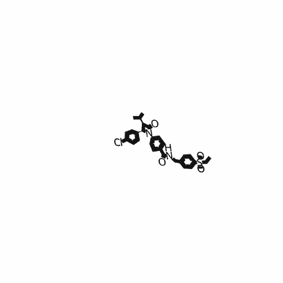 CCS(=O)(=O)c1ccc(CNC(=O)c2ccc(N3C(=O)[C@H](C(C)C)[C@H]3c3ccc(Cl)cc3)cc2)cc1